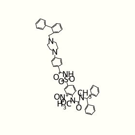 CN(C(=O)N(C)C(c1ccccc1)c1ccccc1)c1ccc(S(=O)(=O)NC(=O)c2ccc(N3CCN(Cc4ccccc4-c4ccccc4)CC3)cc2)cc1[N+](=O)[O-]